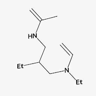 C=CN(CC)CC(CC)CNC(=C)C